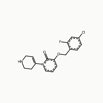 O=c1c(OCc2ccc(Cl)cc2F)cccn1C1=CCNCC1